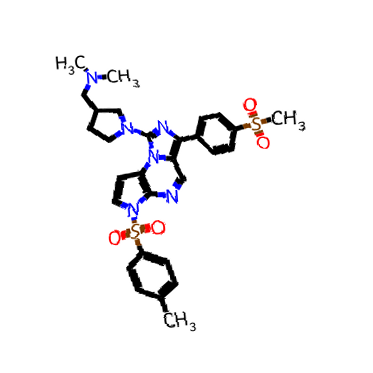 Cc1ccc(S(=O)(=O)n2ccc3c2ncc2c(-c4ccc(S(C)(=O)=O)cc4)nc(N4CCC(CN(C)C)C4)n23)cc1